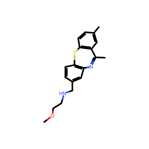 COCCNCc1ccc2c(c1)N=C(C)c1cc(C)ccc1S2